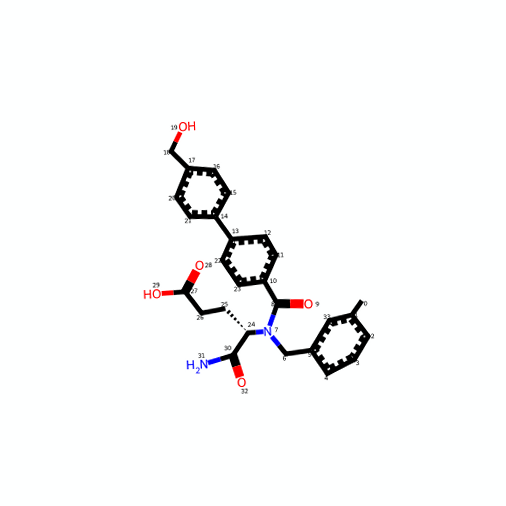 Cc1cccc(CN(C(=O)c2ccc(-c3ccc(CO)cc3)cc2)[C@@H](CCC(=O)O)C(N)=O)c1